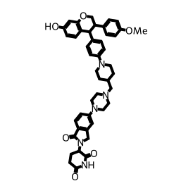 COc1ccc(C2COc3cc(O)ccc3C2c2ccc(N3CCC(CN4CCN(c5ccc6c(c5)CN(C5CCC(=O)NC5=O)C6=O)CC4)CC3)cc2)cc1